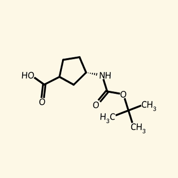 CC(C)(C)OC(=O)N[C@H]1CCC(C(=O)O)C1